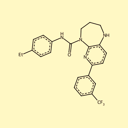 CCc1ccc(NC(=O)N2CCCNc3ccc(-c4cccc(C(F)(F)F)c4)nc32)cc1